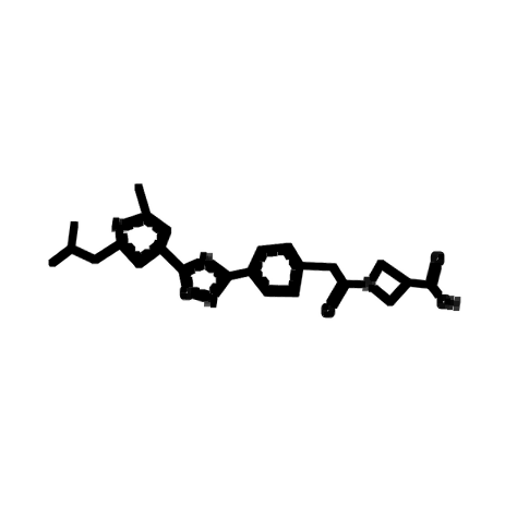 Cc1cc(-c2nc(-c3ccc(CC(=O)N4CC(C(=O)O)C4)cc3)no2)cc(CC(C)C)n1